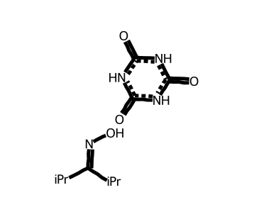 CC(C)C(=NO)C(C)C.O=c1[nH]c(=O)[nH]c(=O)[nH]1